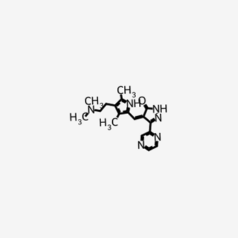 Cc1[nH]c(C=C2C(=O)NN=C2c2cnccn2)c(C)c1CCN(C)C